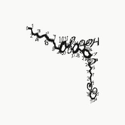 CCCCCCCCCc1ccc(C(=O)Oc2ccc(-c3cc(OCCCCCCOC4CCCCO4)ccc3C(=O)O)cc2)cc1